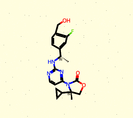 C[C@H](Nc1nccc(N2C(=O)OC[C@]2(C)C2CC2)n1)c1ccc(CO)c(F)c1